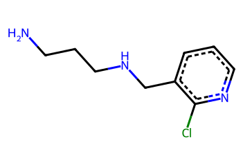 NCCCNCc1cccnc1Cl